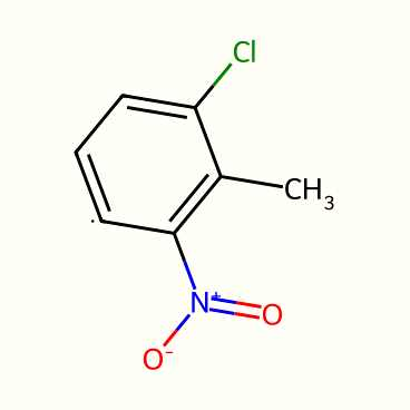 Cc1c([N+](=O)[O-])[c]ccc1Cl